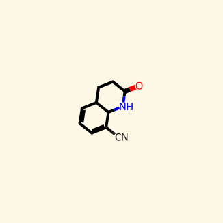 N#CC1=CC=CC2CCC(=O)NC12